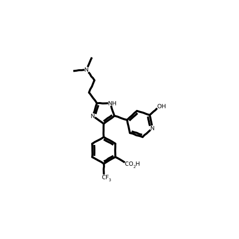 CN(C)CCc1nc(-c2ccc(C(F)(F)F)c(C(=O)O)c2)c(-c2ccnc(O)c2)[nH]1